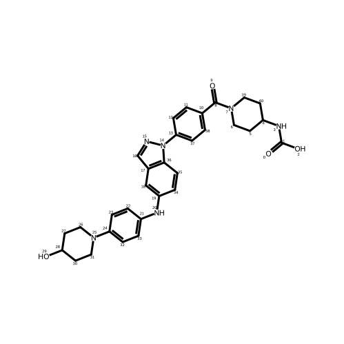 O=C(O)NC1CCN(C(=O)c2ccc(-n3ncc4cc(Nc5ccc(N6CCC(O)CC6)cc5)ccc43)cc2)CC1